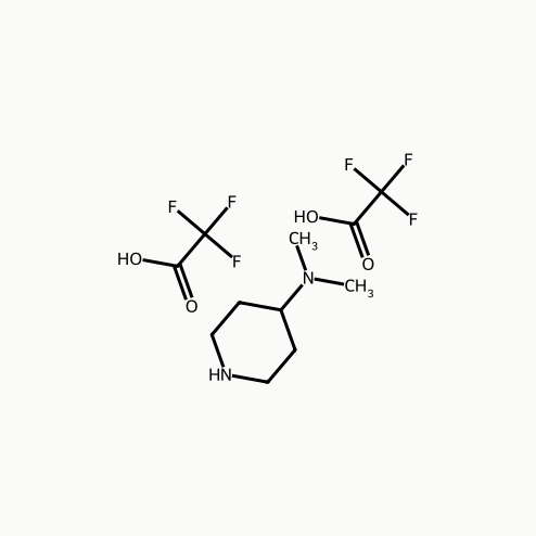 CN(C)C1CCNCC1.O=C(O)C(F)(F)F.O=C(O)C(F)(F)F